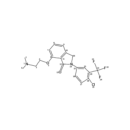 CN(C)CCOc1cccc2c1C(=O)N(c1ccc(Cl)c(C(F)(F)F)c1)C2